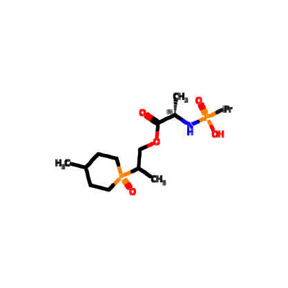 CC1CCP(=O)(C(C)COC(=O)[C@H](C)NP(=O)(O)C(C)C)CC1